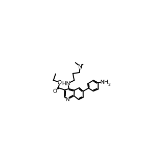 CCOC(=O)c1cnc2ccc(-c3ccc(N)cc3)cc2c1NCCCN(C)C